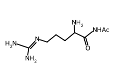 CC(=O)NC(=O)C(N)CCCN=C(N)N